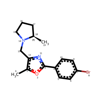 Cc1oc(-c2ccc(Br)cc2)nc1CN1CCC[C@H]1C